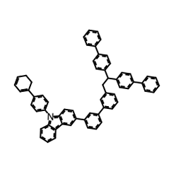 C1=CCCC(c2ccc(-n3c4ccccc4c4cc(-c5cccc(-c6cccc(CC(c7ccc(-c8ccccc8)cc7)c7ccc(-c8ccccc8)cc7)c6)c5)ccc43)cc2)=C1